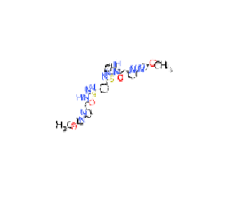 COC1CN(c2cccc(CC(=O)Nc3nnc([C@H]4CCC[C@H](C5=NN(C)C(NC(=O)Cc6cccc(N7CC(OC)C7)n6)S5)C4)s3)n2)C1